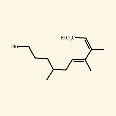 CCOC(=O)C=C(C)C(C)=CCC(C)CCCC(C)CC